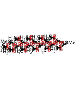 C=C(C)C(=O)OCC(COOC(COOC(COOC(COOC(COOC(COOC(COOC(COOC(COOC(COC)COC(=O)C(=C)C)COC(=O)C(=C)C)COC(=O)C(=C)C)COC(=O)C(=C)C)COC(=O)C(=C)C)COC(=O)C(=C)C)COC(=O)C(=C)C)COC(=O)C(=C)C)COC(=O)C(=C)C)OC